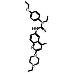 CCOc1ccc(N(CC)C(=S)Nc2ccc3nc(N4CCN(CC)CC4)cc(C)c3c2)cc1